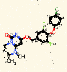 C[C@H]1CCn2c(cc(OCc3cc(F)c(Oc4ccc(Cl)cc4)c(F)c3)nc2=O)N1C